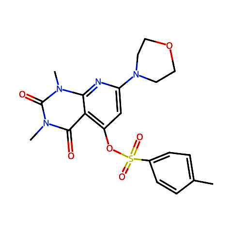 Cc1ccc(S(=O)(=O)Oc2cc(N3CCOCC3)nc3c2c(=O)n(C)c(=O)n3C)cc1